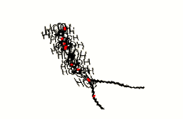 CCCCCCCCCCCCC/C=C/[C@@H](O)[C@H](CO[C@@H]1OC(CO)[C@@H](O[C@@H]2OC(CO)[C@H](O[C@@H]3OC(CO)[C@H](O)[C@H](O[C@H]4OC(CO)[C@H](O)[C@H](O[C@H]5OC(CO)[C@H](O)[C@H](O[C@@H]6OC(CO)[C@H](O)[C@H](O)C6NC(C)=O)C5O)C4O)C3O)[C@H](O)C2O)[C@H](O)C1O)NC(=O)CCCCCCCCCCCCCCCCCCCCCCCCC